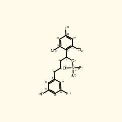 CC[Si](CC)(CC)OC(CCCc1cc(F)cc(F)c1)c1c(Cl)cc(I)cc1Cl